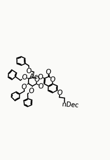 CCCCCCCCCCCCOc1ccc2c(O[C@@H]3O[C@H](COCc4ccccc4)[C@H](OCc4ccccc4)[C@H](OCc4ccccc4)[C@H]3OCc3ccccc3)c(OC(C)=O)c(=O)oc2c1